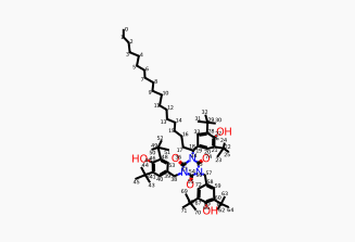 CCCCCCCCCCCCCCCCCCC(c1cc(C(C)(C)C)c(O)c(C(C)(C)C)c1)n1c(=O)n(Cc2cc(C(C)(C)C)c(O)c(C(C)(C)C)c2)c(=O)n(Cc2cc(C(C)(C)C)c(O)c(C(C)(C)C)c2)c1=O